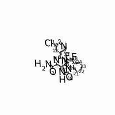 NC(=O)c1nc(-c2cncc(Cl)c2)nc2c1[nH]c(=O)n2-c1ccccc1C(F)(F)F